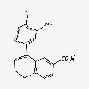 [C-]#[N+]c1cc(C2=CCCc3ccc(C(=O)O)cc32)ccc1F